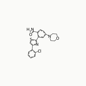 NC(=O)c1ccc(N2CCOCC2)cc1-c1nc(-c2ccccc2Cl)cs1